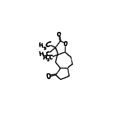 CC1(C)C(=O)OC2CCC3CCC(=O)C3CC21C